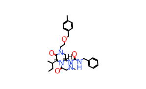 CCC(C)[C@H]1C(=O)N(CCOCc2ccc(C)cc2)C[C@H]2N1C(=O)CN(C)N2C(=O)NCc1ccccc1